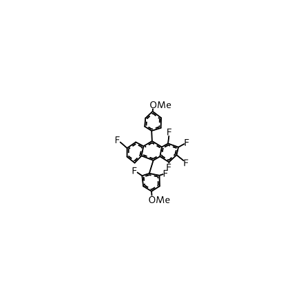 COc1ccc(-c2c3cc(F)ccc3c(-c3c(F)cc(OC)cc3F)c3c(F)c(F)c(F)c(F)c23)cc1